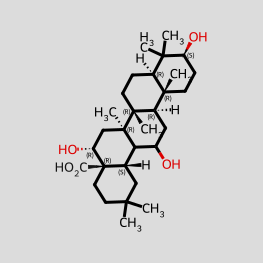 CC1(C)CC[C@]2(C(=O)O)[C@H](O)C[C@]3(C)C(C(O)C[C@@H]4[C@@]5(C)CC[C@H](O)C(C)(C)[C@@H]5CC[C@]43C)[C@@H]2C1